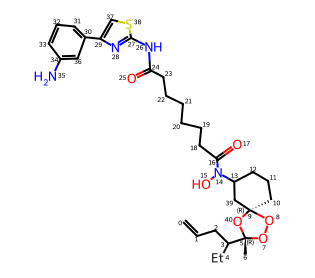 C=CCC(CC)[C@@]1(C)OO[C@@]2(CCCC(N(O)C(=O)CCCCCCC(=O)Nc3nc(-c4cccc(N)c4)cs3)C2)O1